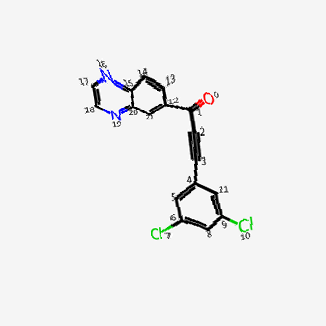 O=C(C#Cc1cc(Cl)cc(Cl)c1)c1ccc2nccnc2c1